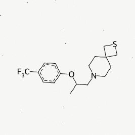 CC(CN1CCC2(CC1)CSC2)Oc1ccc(C(F)(F)F)cc1